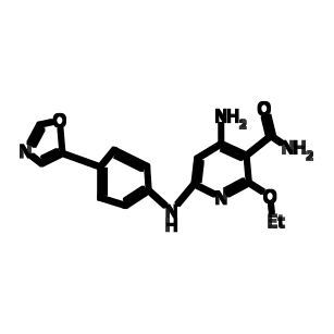 CCOc1nc(Nc2ccc(-c3cnco3)cc2)cc(N)c1C(N)=O